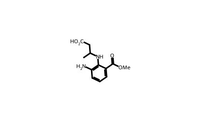 COC(=O)c1cccc(N)c1NC(C)CC(=O)O